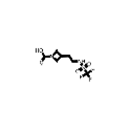 O=C(O)N1CC(CCNS(=O)(=O)C(F)(F)F)C1